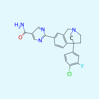 NC(=O)c1cnc(-c2ccc3c(c2)CN2CCC3(c3ccc(Cl)c(F)c3)CC2)nc1